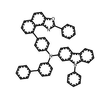 c1ccc(-c2cccc(N(c3ccc(-c4cccc5ccc6oc(-c7ccccc7)nc6c45)cc3)c3ccc4c5ccccc5n(-c5ccccc5)c4c3)c2)cc1